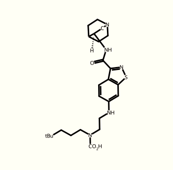 CC(C)(C)CCCN(CCNc1ccc2c(C(=O)N[C@@H]3CN4CCC3CC4)nsc2c1)C(=O)O